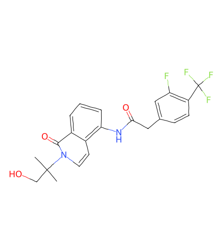 CC(C)(CO)n1ccc2c(NC(=O)Cc3ccc(C(F)(F)F)c(F)c3)cccc2c1=O